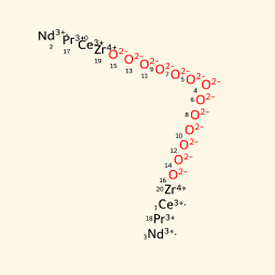 [Ce+3].[Ce+3].[Nd+3].[Nd+3].[O-2].[O-2].[O-2].[O-2].[O-2].[O-2].[O-2].[O-2].[O-2].[O-2].[O-2].[O-2].[O-2].[Pr+3].[Pr+3].[Zr+4].[Zr+4]